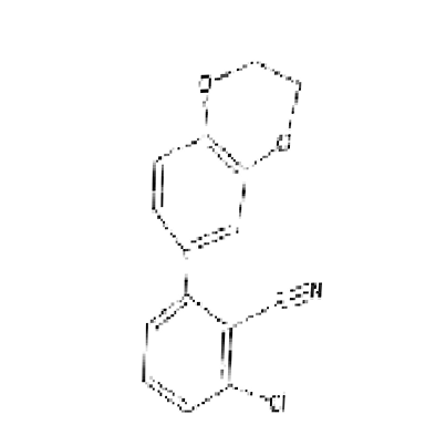 N#Cc1c(Cl)cccc1-c1ccc2c(c1)OCCO2